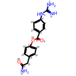 N=C(N)Nc1ccc(C(=O)Oc2ccc(CC(N)=O)cc2)cc1